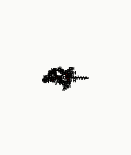 CCCCCCCCCCNCCN[C@@]1(C)C[C@H](O[C@H]2[C@H](Oc3c4cc5cc3Oc3ccc(cc3Cl)[C@@H](O)[C@@H]3NC(=O)[C@H](NC(=O)[C@@H]5NC(=O)[C@H](CC(N)=O)NC(=O)C(NC(=O)[C@@H](CC(C)C)NC)[C@H](O)c5ccc(c(Cl)c5)O4)c4ccc(O)c(c4)-c4c(cc(O)c(CNCP(=O)(O)O)c4O)[C@@H](C(=O)O)NC3=O)O[C@H](CO)[C@@H](O)[C@@H]2O)O[C@@H](C)[C@H]1O